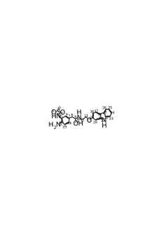 CS(=O)(=O)Nc1cc(CC(O)NCCOc2ccc3c(c2)[nH]c2ccccc23)ccc1N